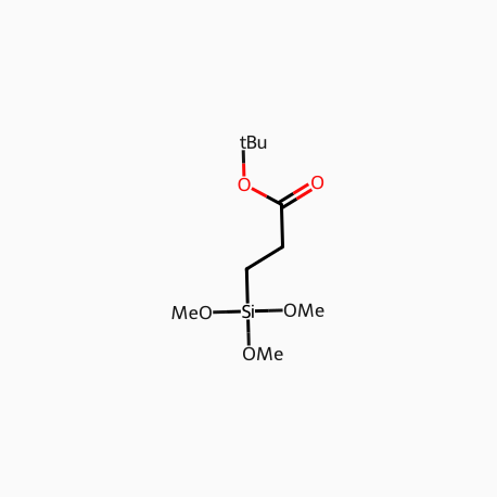 CO[Si](CCC(=O)OC(C)(C)C)(OC)OC